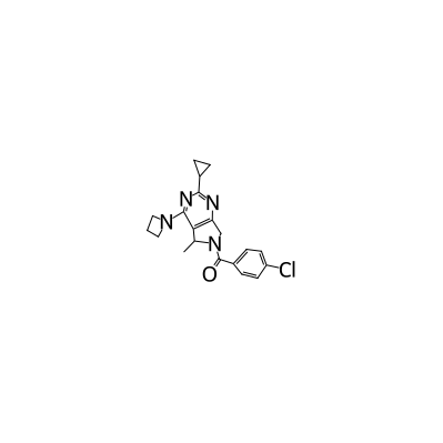 CC1c2c(nc(C3CC3)nc2N2CCC2)CN1C(=O)c1ccc(Cl)cc1